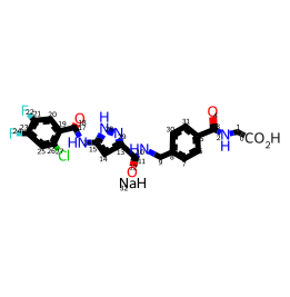 O=C(O)CNC(=O)c1ccc(CNC(=O)c2cc(NC(=O)c3cc(F)c(F)cc3Cl)[nH]n2)cc1.[NaH]